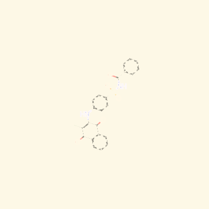 O=C(NS(=O)(=O)c1ccc(NC2=C(Cl)C(=O)c3ccccc3C2=O)cc1)c1ccccc1